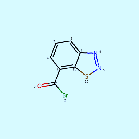 O=C(Br)c1cccc2nnsc12